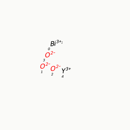 [Bi+3].[O-2].[O-2].[O-2].[Y+3]